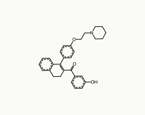 O=C(C1=C(c2ccc(OCCN3CCCCC3)cc2)c2ccccc2CC1)c1cccc(O)c1